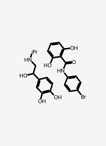 CC(C)NCC(O)c1ccc(O)c(O)c1.O=C(Nc1ccc(Br)cc1)c1c(O)cccc1O